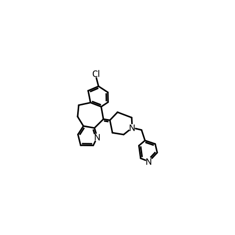 Clc1ccc2c(c1)CCc1cccnc1C2=C1CCN(Cc2ccncc2)CC1